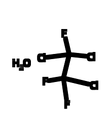 FC(F)(Cl)C(F)(Cl)Cl.O